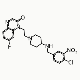 O=c1cnc2ccc(F)cc2n1CCN1CCC(NCc2ccc(Cl)c([N+](=O)[O-])c2)CC1